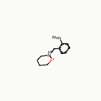 CNc1ccccc1C[SiH]1CCCCO1